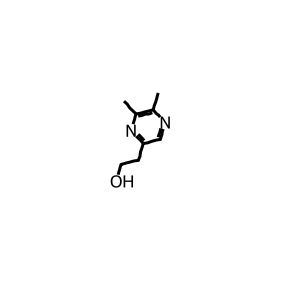 Cc1ncc(CCO)nc1C